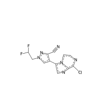 N#Cc1nn(CC(F)F)cc1-c1cnc2c(Cl)nccn12